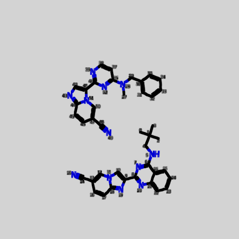 CC(C)(C)CNc1nc(-c2cn3cc(C#N)ccc3n2)nc2ccccc12.CN(Cc1ccccc1)c1ccnc(-c2cnc3ccc(C#N)cn23)n1